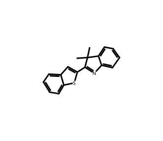 CC1(C)C(c2cc3ccccc3s2)=Nc2ccccc21